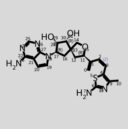 C=C(/C=C\c1sc(N)nc1C)[C@H]1C[C@@]2(CO1)C[C@@H](n1ccc3c(N)ncnc31)[C@H](O)[C@@H]2O